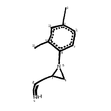 Cc1ccc(N2CC2C=N)c(C)c1